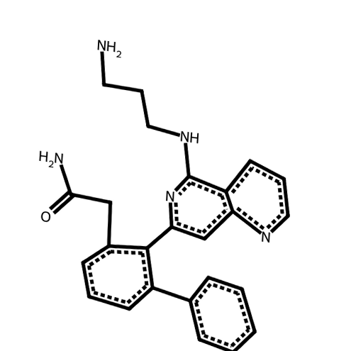 NCCCNc1nc(-c2c(CC(N)=O)cccc2-c2ccccc2)cc2ncccc12